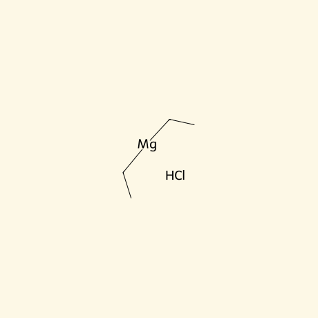 C[CH2][Mg][CH2]C.Cl